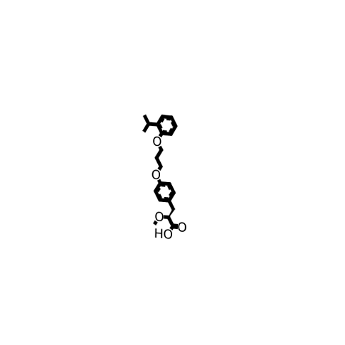 CO[C@@H](Cc1ccc(OCCCOc2ccccc2C(C)C)cc1)C(=O)O